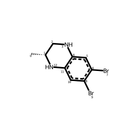 C[C@@H]1CNc2cc(Br)c(Br)cc2N1